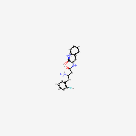 N[C@@H](CC(=O)Nc1cc2ccccc2[nH]c1=O)Cc1ccccc1F